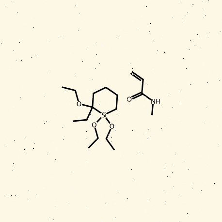 C=CC(=O)NC.CCOC1(CC)CCCC[Si]1(OCC)OCC